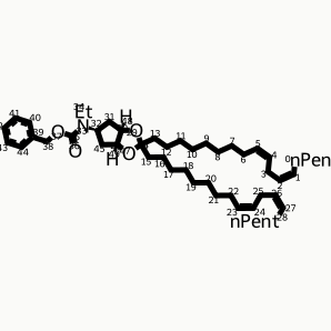 CCCCC/C=C\C/C=C\CCCCCCCCC1(CCCCCCCC/C=C\C/C=C\CCCCC)O[C@H]2C[C@H](N(CC)C(=O)OCc3ccccc3)C[C@H]2O1